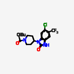 CC(C)COC(=O)N1CCC(n2c(=O)[nH]c3cc(C(F)(F)F)c(Cl)cc32)CC1